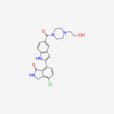 O=C1NCc2c(Cl)ccc(-c3cc4cc(C(=O)N5CCN(CCO)CC5)ccc4[nH]3)c21